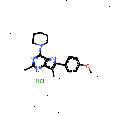 COc1ccc(-c2[nH]c3c(N4CCCCC4)nc(C)nc3c2C)cc1.Cl